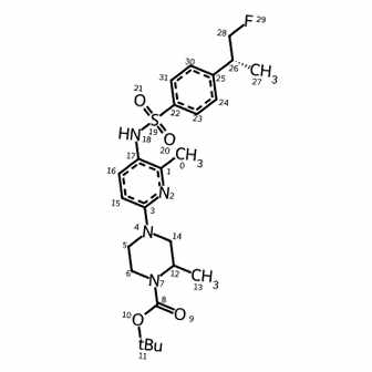 Cc1nc(N2CCN(C(=O)OC(C)(C)C)C(C)C2)ccc1NS(=O)(=O)c1ccc([C@@H](C)CF)cc1